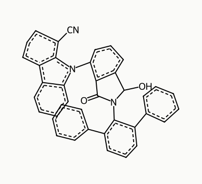 N#Cc1cccc2c3ccccc3n(-c3cccc4c3C(=O)N(c3c(-c5ccccc5)cccc3-c3ccccc3)C4O)c12